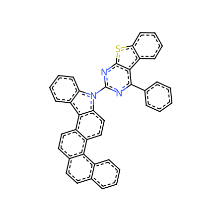 c1ccc(-c2nc(-n3c4ccccc4c4c5ccc6ccc7ccccc7c6c5ccc43)nc3sc4ccccc4c23)cc1